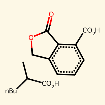 CCCCC(C)C(=O)O.O=C(O)c1cccc2c1C(=O)OC2